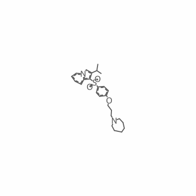 CC(C)c1cn2ccccc2c1S(=O)(=O)c1ccc(OCCCN2CCCCCC2)cc1